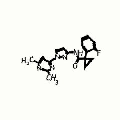 Cc1cc(-n2ccc(NC(=O)C3(c4ccccc4F)CC3)n2)nc(C)n1